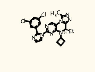 CC[C@@H]1c2nnc(C)n2-c2cnc(-n3ccnc3-c3cc(Cl)cc(Cl)c3)nc2N1C1CCC1